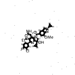 CCOc1c(CC(N)=O)cc([C@@](O)(CNC(=O)c2cc(OC)c3nn(C4CC4)cc3c2)C2CC2)nc1-c1ccc(F)c(Cl)c1